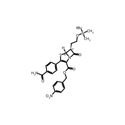 CC(C)(C)[Si](C)(C)OCC[C@H]1C(=O)N2C(C(=O)OCc3ccc([N+](=O)[O-])cc3)=C(c3ccc(C(N)=O)cc3)S[C@H]12